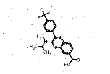 CC(C)N(C)c1nc2cc(C(=O)O)ccc2nc1-c1ccc(C(F)(F)F)cc1